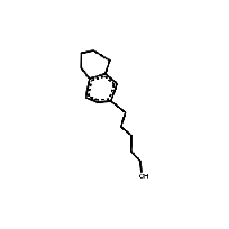 OCCCCCc1ccc2c(c1)CCCC2